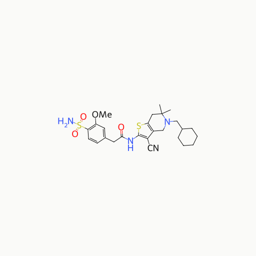 COc1cc(CC(=O)Nc2sc3c(c2C#N)CN(CC2CCCCC2)C(C)(C)C3)ccc1S(N)(=O)=O